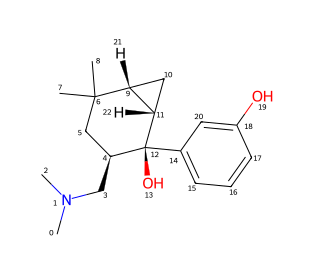 CN(C)C[C@H]1CC(C)(C)[C@@H]2C[C@@H]2[C@]1(O)c1cccc(O)c1